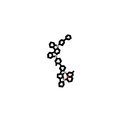 Cc1cccc(-n2c3ccc(-c4ccc(-n5c6ccccc6c6c7c8ccccc8n(-c8ccc(-c9ccccc9)cc8)c7ccc65)cc4C)cc3c3ccc4c5ccccc5n(-c5ccccc5)c4c32)c1